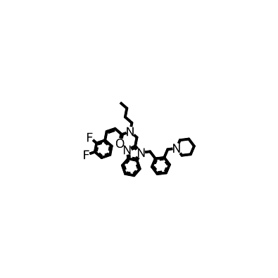 CCCCN(Cc1nc2ccccc2n1Cc1ccccc1CN1CCCCC1)C(=O)/C=C\c1cccc(F)c1F